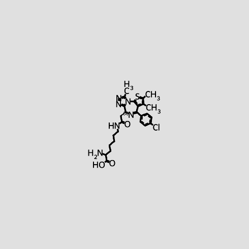 Cc1sc2c(c1C)C(c1ccc(Cl)cc1)=N[C@@H](CC(=O)NCCCCCC(N)C(=O)O)c1nnc(C)n1-2